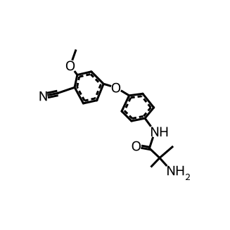 COc1cc(Oc2ccc(NC(=O)C(C)(C)N)cc2)ccc1C#N